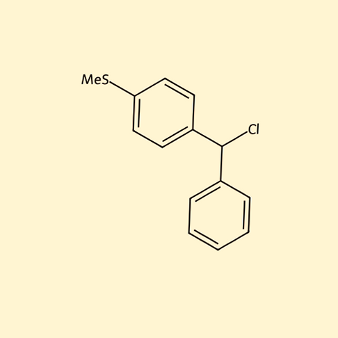 CSc1ccc(C(Cl)c2ccccc2)cc1